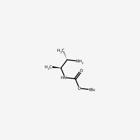 C[C@H](N)[C@H](C)NC(=O)OC(C)(C)C